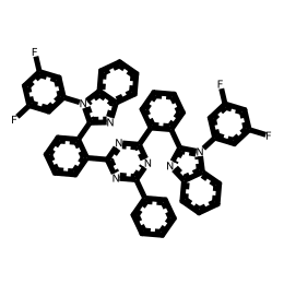 Fc1cc(F)cc(-n2c(-c3ccccc3-c3nc(-c4ccccc4)nc(-c4ccccc4-c4nc5ccccc5n4-c4cc(F)cc(F)c4)n3)nc3ccccc32)c1